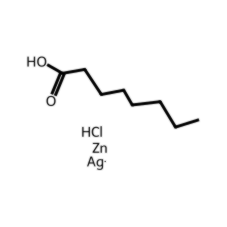 CCCCCCCC(=O)O.Cl.[Ag].[Zn]